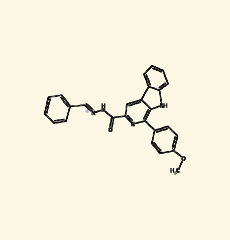 COc1ccc(-c2nc(C(=O)N/N=C/c3ccccc3)cc3c2[nH]c2ccccc23)cc1